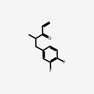 C=CC(=O)C(C)Cc1ccc(F)c(F)c1